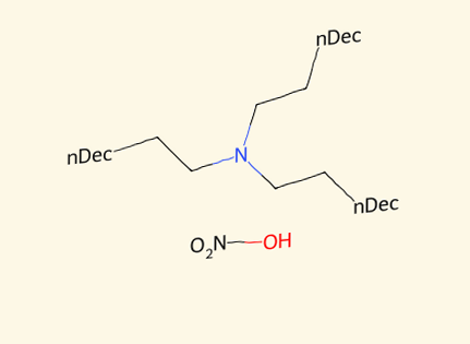 CCCCCCCCCCCCN(CCCCCCCCCCCC)CCCCCCCCCCCC.O=[N+]([O-])O